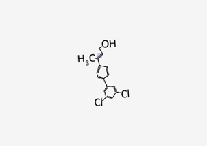 C/C(=C\CO)c1ccc(-c2cc(Cl)cc(Cl)c2)cc1